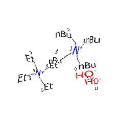 CCCC[N+](CCCC)(CCCC)CCCC.CC[N+](CC)(CC)CC.[OH-].[OH-]